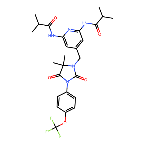 CC(C)C(=O)Nc1cc(CN2C(=O)N(c3ccc(OC(F)(F)F)cc3)C(=O)C2(C)C)cc(NC(=O)C(C)C)n1